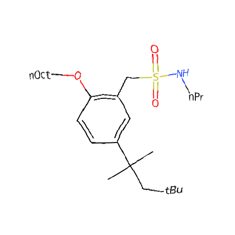 C[CH]CNS(=O)(=O)Cc1cc(C(C)(C)CC(C)(C)C)ccc1OCCCCCCCC